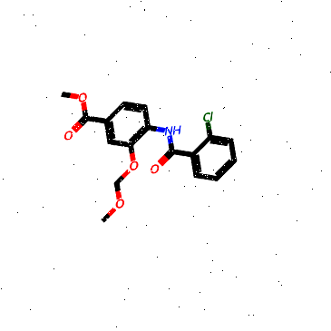 COCOc1cc(C(=O)OC)ccc1NC(=O)c1ccccc1Cl